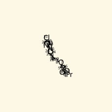 CC(C)S(=O)(=O)N1CC(OCC[C@@H]2CC2C2CCN(c3ncc(Cl)cn3)CC2)C1